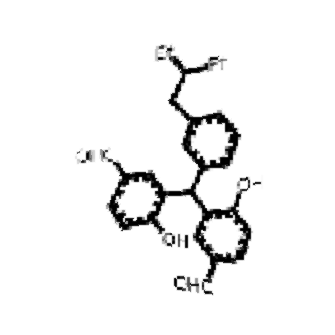 CCC(CC)Cc1cccc(C(c2cc(C=O)ccc2O)c2cc(C=O)ccc2O)c1